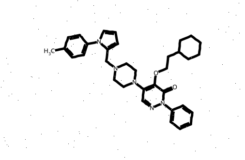 Cc1ccc(-n2cccc2CN2CCN(c3cnn(-c4ccccc4)c(=O)c3OCCC3CCCCC3)CC2)cc1